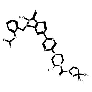 C[C@@H]1CN(c2cnc(-c3ccc4c(=O)n(C)n(Cc5ccccc5OC(F)F)c4c3)cn2)CCN1C(=O)[C@H]1COC(C)(C)O1